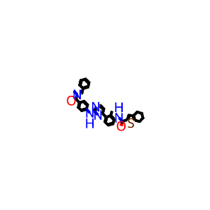 Cc1c(NC(=O)c2cc3c(s2)CCCC3)cccc1-c1ccnc(Nc2ccc(C(=O)N(C)Cc3ccccc3)cc2)n1